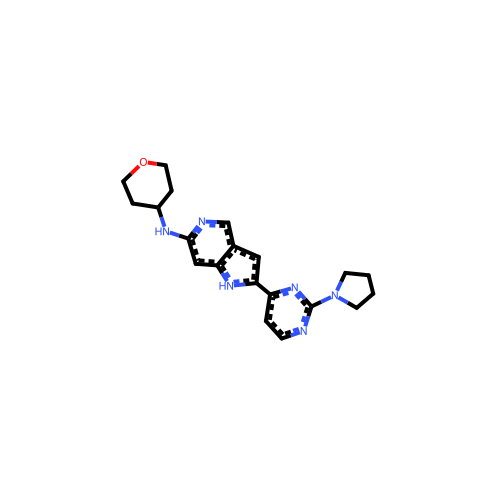 c1cc(-c2cc3cnc(NC4CCOCC4)cc3[nH]2)nc(N2CCCC2)n1